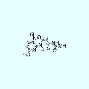 COc1ccc([N+](=O)[O-])c(N2CCC(NC(=O)O)CC2)n1